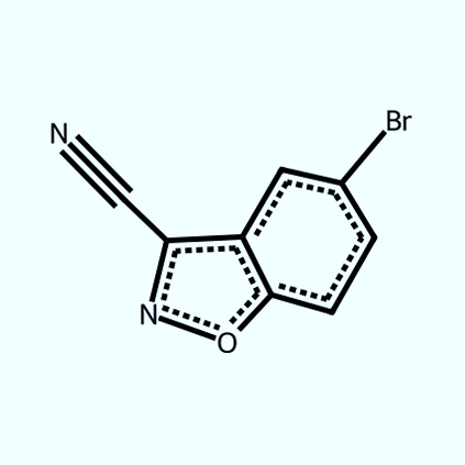 N#Cc1noc2ccc(Br)cc12